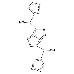 OC(c1ccsc1)c1csc2c(C(O)c3ccsc3)csc12